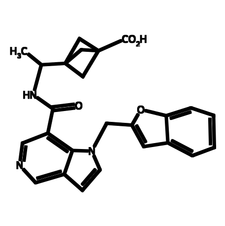 CC(NC(=O)c1cncc2ccn(Cc3cc4ccccc4o3)c12)C12CC(C(=O)O)(C1)C2